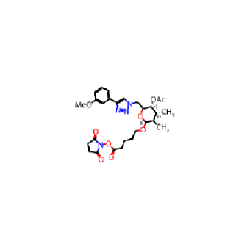 COc1cccc(-c2cn(CC3O[C@H](OCCCCC(=O)ON4C(=O)CCC4=O)C(C)[C@@H](C)[C@H]3OC(C)=O)nn2)c1